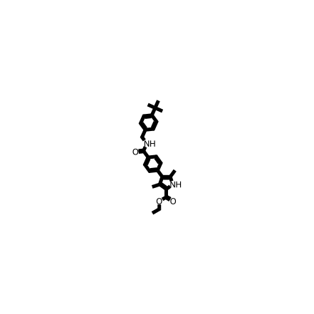 CCOC(=O)c1[nH]c(C)c(-c2ccc(C(=O)NCc3ccc(C(C)(C)C)cc3)cc2)c1C